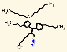 CCCCCCC(C=C=[N+]=[N-])=C(c1ccc(CCCCC)cc1)c1cccc(CCCC)c1.CCCCCC[CH2][Ni][CH2]CCCCCC